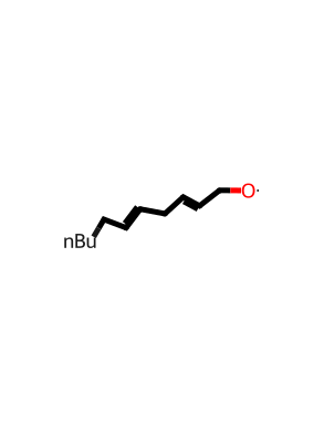 CCCCCC=CCC=CC[O]